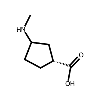 CNC1CC[C@@H](C(=O)O)C1